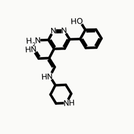 N=C/C(=C\NC1CCNCC1)c1cc(-c2ccccc2O)nnc1N